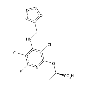 C[C@@H](Oc1nc(F)c(Cl)c(NCc2ccco2)c1Cl)C(=O)O